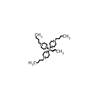 CC=C[Si](N1CCN(CCCC)CC1)(N1CCN(CCCC)CC1)N1CCN(CCCC)CC1